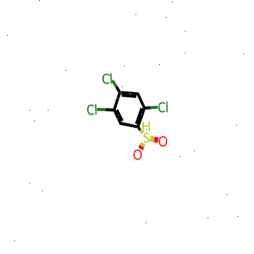 O=[SH](=O)c1cc(Cl)c(Cl)cc1Cl